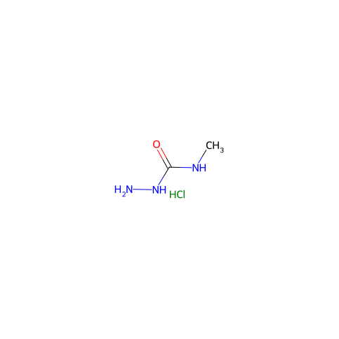 CNC(=O)NN.Cl